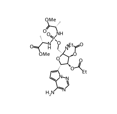 C#[N+][C@]1(COP(=O)(N[C@@H](C)C(=O)OC)N[C@@H](C)C(=O)OC)O[C@@H](c2ccc3c(N)ncnn23)[C@H](OC(=O)CC)[C@@H]1OC(=O)CC